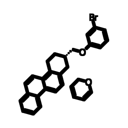 Brc1cccc(OC[C@H]2CCc3c(ccc4c3ccc3ccccc34)C2)c1.C1=CCOC=C1